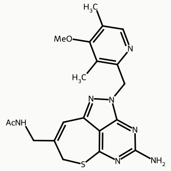 COc1c(C)cnc(Cn2nc3c4c(nc(N)nc42)SCC(CNC(C)=O)=C3)c1C